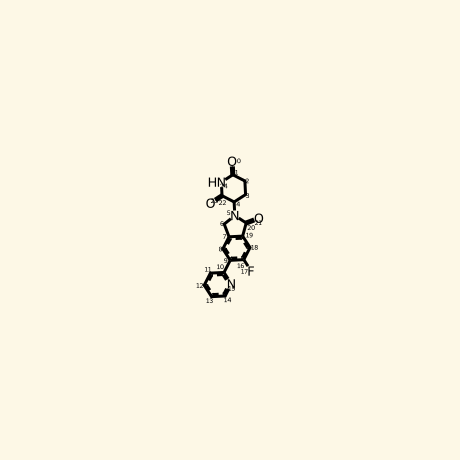 O=C1CCC(N2Cc3cc(-c4ccccn4)c(F)cc3C2=O)C(=O)N1